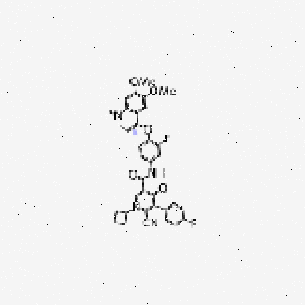 C=Nc1cc(OC)c(OC)cc1/C(=C\C)Oc1ccc(NC(=O)c2cn(C3CCC3)c(C#N)c(-c3ccc(F)cc3)c2=O)cc1F